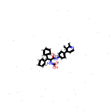 Cc1nccc(-c2ccc(NC(=O)C(NC(=O)O)C(c3ccccc3)c3ccccc3)cc2)c1C